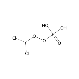 O=P(O)(O)OOC(Cl)Cl